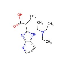 CCC(C(=O)O)c1nc2ncccc2[nH]1.CCN(CC)CC